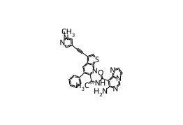 C[C@H](NC(=O)c1c(N)ncn2ccnc12)c1nc2scc(C#Cc3cnn(C)c3)c2cc1-c1ccccc1